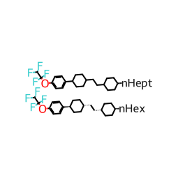 CCCCCCCC1CCC(CCC2CCC(c3ccc(OC(F)(F)C(F)F)cc3)CC2)CC1.CCCCCC[C@H]1CC[C@H](CC[C@H]2CC[C@H](c3ccc(OC(F)(F)C(F)F)cc3)CC2)CC1